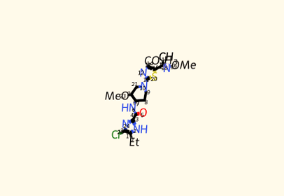 CCc1[nH]c(C(=O)N[C@@H]2CCN(c3nc(C(=O)O)c(/C(C)=N/OC)s3)CC2OC)nc1Cl